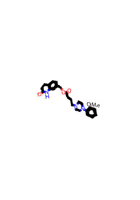 COc1ccccc1N1CCN(CCCC(=O)OCc2ccc3c(c2)NC(=O)CC3)CC1